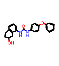 O=C(Nc1ccc(Oc2ccccc2)cc1)Nc1cccc2c1CC(O)CC2